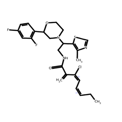 C=C(C(=O)NCC(c1scnc1C)N1CCOC(c2ccc(F)cc2F)C1)/C(Cl)=C\C=C/CC